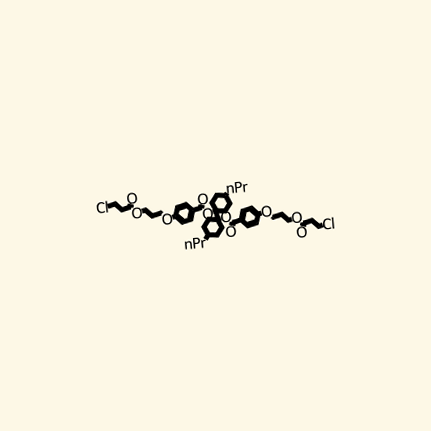 CCCC1CCC(OC(=O)c2ccc(OCCCOC(=O)CCCl)cc2)(C2(OC(=O)c3ccc(OCCCOC(=O)CCCl)cc3)CCC(CCC)CC2)CC1